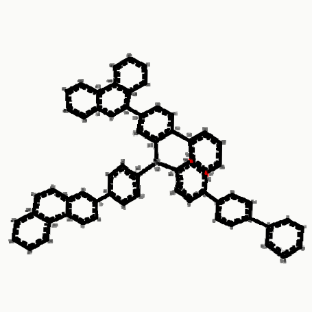 c1ccc(-c2ccc(-c3ccc(N(c4ccc(-c5ccc6c(ccc7ccccc76)c5)cc4)c4cc(-c5cc6ccccc6c6ccccc56)ccc4-c4ccccc4)cc3)cc2)cc1